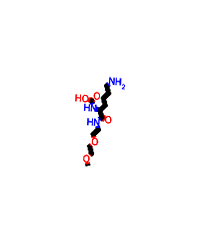 COCCOCCNC(=O)C(CCCCN)NC(=O)O